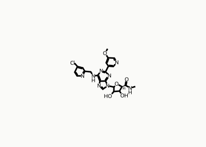 CNC(=O)[C@@H]1OC(n2cnc3c(NCc4cc(Cl)ccn4)nc(-c4cncc(OC)c4)nc32)C(O)C1O